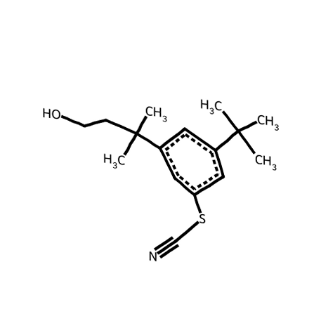 CC(C)(C)c1cc(SC#N)cc(C(C)(C)CCO)c1